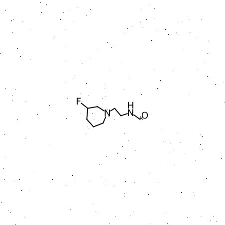 O=[C]NCCN1CCCC(F)C1